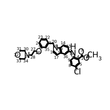 COC(=O)c1cc(Cl)ccc1Nc1ccc2c(ccn2Cc2cccc(OCCN3CCOCC3)c2)c1